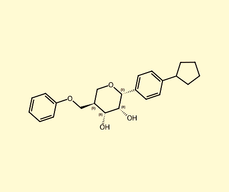 O[C@@H]1[C@@H](COc2ccccc2)CO[C@H](c2ccc(C3CCCC3)cc2)[C@@H]1O